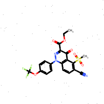 CCOC(=O)c1nn(-c2ccc(OC(F)(F)F)cc2)c2ccc(C#N)c(S(C)(=O)=O)c2c1=O